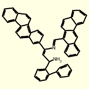 NC(/C=C(\N=C\c1c2ccccc2cc2c1ccc1ccccc12)c1ccc2c(ccc3c4ccccc4ccc23)c1)c1ccccc1-c1ccccc1